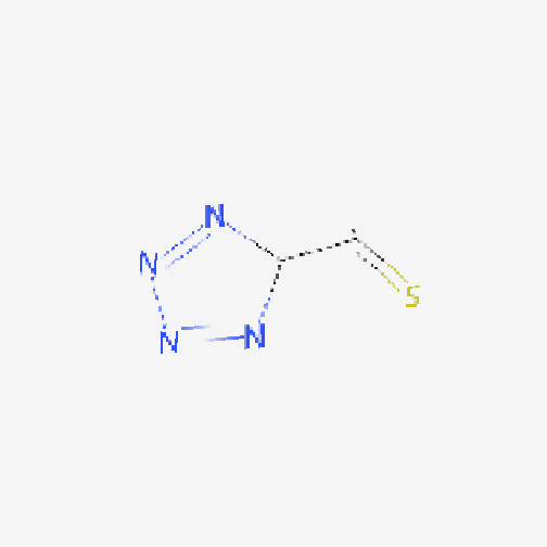 S=[C]C1N=NN=N1